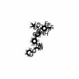 CC(C)(C)OC(=O)Nc1cc(F)c(C(F)(F)F)cc1NC(=O)CC(=O)c1cccc(-n2nncc2COC2CCCCO2)c1